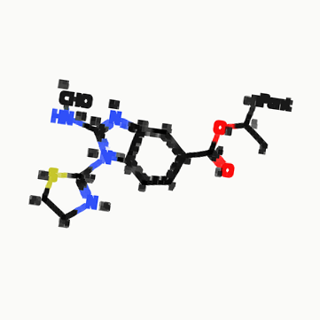 CCCCCC(C)OC(=O)c1ccc2c(c1)nc(NC=O)n2C1=NCCS1